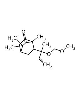 C=CC(C)(OCOC)C1CC2CCC1(C)C(=O)C2(C)C